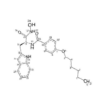 CCCCCCOc1ccc(C(=O)N[C@@H](Cc2cc3ccccc3[nH]2)C(=O)NO)cc1